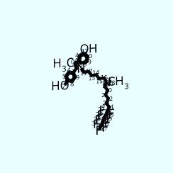 Cc1c(-c2ccc(O)cc2)n(CCCCCCN(C)CCCCCCC(F)(F)C(F)(F)C(F)(F)C(F)(F)F)c2ccc(O)cc12